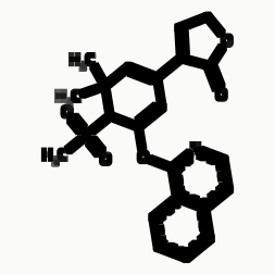 CC1(C)C=C(C2=CCOC2=O)C=C(Oc2nccc3ccccc23)C1S(C)(=O)=O